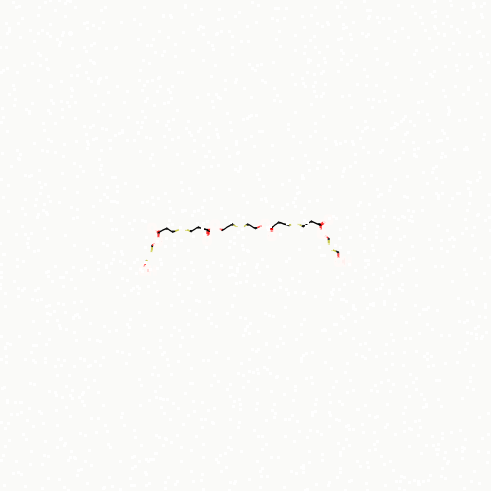 O=C(CCSCCC(=O)OCSCO)OCCSCCOC(=O)CCSCCC(=O)OCSCO